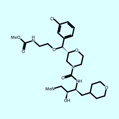 CNC[C@H](O)[C@H](CC1CCOCC1)NC(=O)N1CCO[C@@H](C(OCCNC(=O)OC)c2cccc(Cl)c2)C1